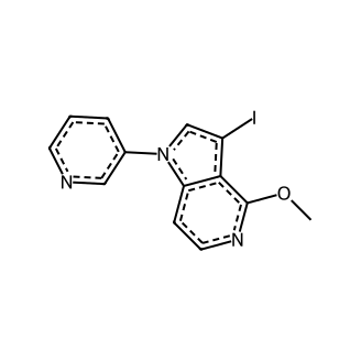 COc1nccc2c1c(I)cn2-c1cccnc1